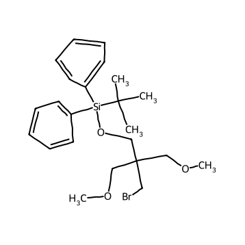 COCC(CBr)(COC)CO[Si](c1ccccc1)(c1ccccc1)C(C)(C)C